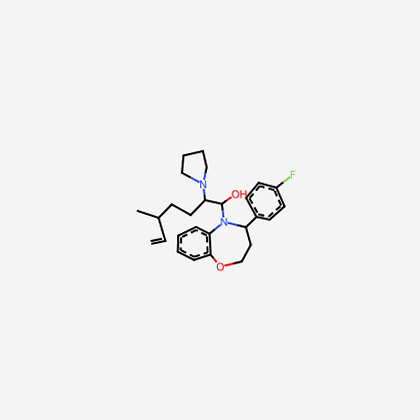 C=CC(C)CCC(C(O)N1c2ccccc2OCCC1c1ccc(F)cc1)N1CCCC1